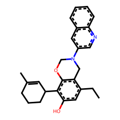 CCc1cc(O)c(C2C=C(C)CCC2)c2c1CN(c1cnc3ccccc3c1)CO2